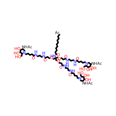 CC(=O)CCCCCCCCCCC(=O)NC(COCCC(=O)NCCCNC(=O)CCCCN1CC(NC(C)=O)C(O)[C@@H](O)C1CO)(COCCC(=O)NCCCNC(=O)CCCCN1CC(NC(C)=O)C(O)[C@@H](O)C1CO)COCCC(=O)NCCCNC(=O)CCCCN1CC(NC(C)=O)C(O)[C@@H](O)C1CO